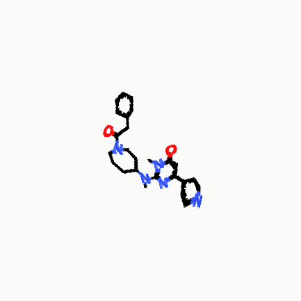 CN(c1nc(-c2ccncc2)cc(=O)n1C)C1CCCN(C(=O)Cc2ccccc2)CC1